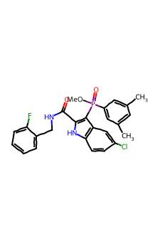 COP(=O)(c1cc(C)cc(C)c1)c1c(C(=O)NCc2ccccc2F)[nH]c2ccc(Cl)cc12